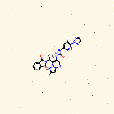 CC(c1c(NC(=O)Nc2cnc(-n3nccn3)c(Cl)c2)cnc2cc(Cl)nn12)N1C(=O)c2ccccc2C1=O